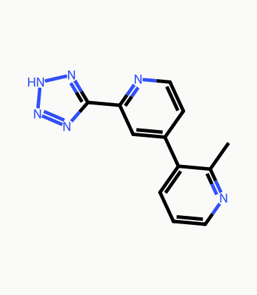 Cc1ncccc1-c1ccnc(-c2nn[nH]n2)c1